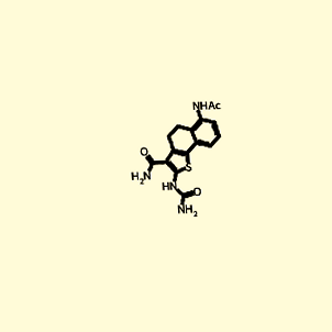 CC(=O)Nc1cccc2c1CCc1c-2sc(NC(N)=O)c1C(N)=O